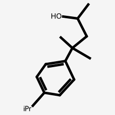 CC(O)CC(C)(C)c1ccc(C(C)C)cc1